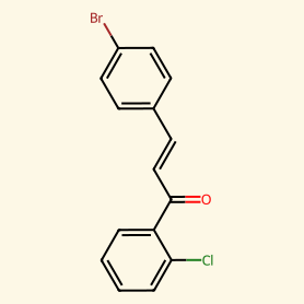 O=C(C=Cc1ccc(Br)cc1)c1ccccc1Cl